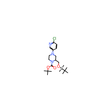 CC(C)(C)OC(=O)N1CCN(c2ccc(Cl)nc2)CC1CO[Si](C)(C)C(C)(C)C